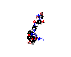 COc1ccc(C(=O)N2CC3(CCN(Cc4ccccc4C4(c5c(F)ccc(C)c5-c5c(C(C)(C)O)ccc(C(N)=O)c5F)NC=Nc5[nH]ccc54)CC3)C2)cc1N1CCC(=O)NC1=O